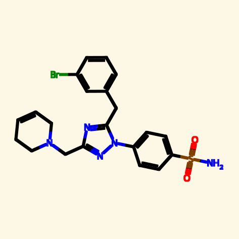 NS(=O)(=O)c1ccc(-n2nc(CN3CC=CCC3)nc2Cc2cccc(Br)c2)cc1